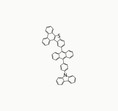 c1ccc2c(-c3ccc4sc5c6ccccc6c6ccccc6c5c4c3)c3ccccc3c(-c3ccc(-n4c5ccccc5c5ccccc54)cc3)c2c1